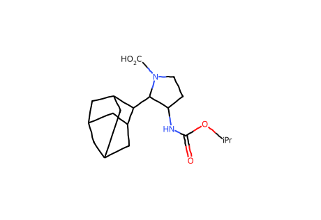 CC(C)OC(=O)NC1CCN(C(=O)O)C1C1C2CC3CC(C2)CC1C3